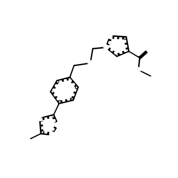 CCNC(=O)c1cnn(COCc2ccc(-c3noc(C(F)(F)F)n3)cc2)c1